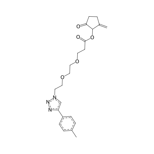 C=C1CCC(=O)C1OC(=O)CCOCCOCCn1cc(-c2ccc(C)cc2)nn1